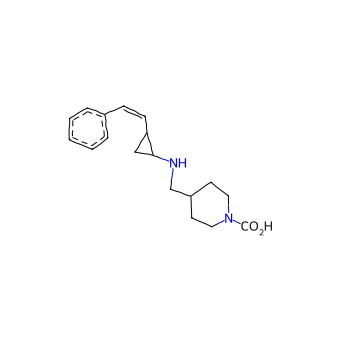 O=C(O)N1CCC(CNC2CC2/C=C\c2ccccc2)CC1